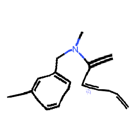 C=C/C=C\C(=C)N(C)Cc1cccc(C)c1